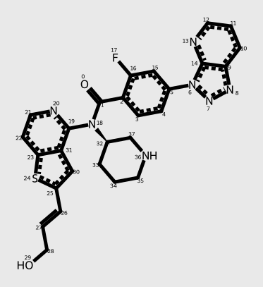 O=C(c1ccc(-n2nnc3cccnc32)cc1F)N(c1nccc2sc(/C=C/CO)cc12)[C@@H]1CCCNC1